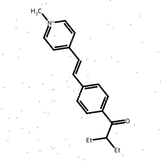 CCC(CC)C(=O)c1ccc(C=Cc2cc[n+](C)cc2)cc1